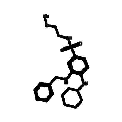 CC(C)(C)OCCNS(=O)(=O)c1ccc(NC2CCCCC2)c(NCc2ccccc2)c1